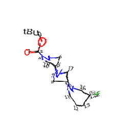 CC(C)(C)OC(=O)N1CC(N2CC(N3CCC[C@H](F)C3)C2)C1